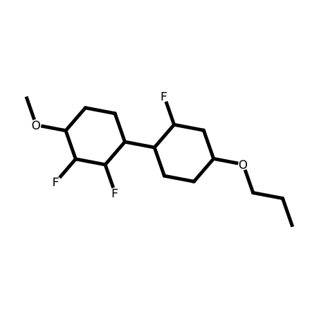 CCCOC1CCC(C2CCC(OC)C(F)C2F)C(F)C1